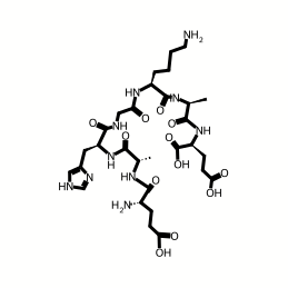 C[C@H](NC(=O)[C@H](CCCCN)NC(=O)CNC(=O)[C@H](Cc1c[nH]cn1)NC(=O)[C@H](C)NC(=O)[C@@H](N)CCC(=O)O)C(=O)N[C@@H](CCC(=O)O)C(=O)O